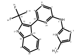 Cc1csc(Nc2cncc(-c3c(C(F)(F)F)nc4ccccn34)n2)n1